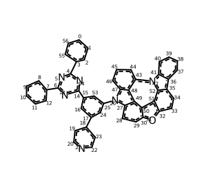 c1ccc(-c2nc(-c3ccccc3)nc(-c3cc(-c4ccncc4)cc(-n4c5ccc6oc7ccc8c9ccccc9n9c%10cccc4c%10c5c6c7c89)c3)n2)cc1